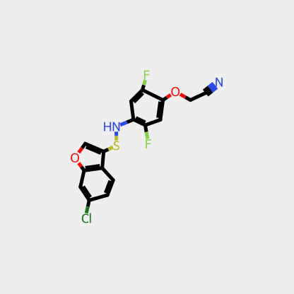 N#CCOc1cc(F)c(NSc2coc3cc(Cl)ccc23)cc1F